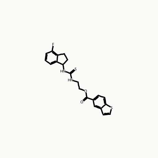 O=C(OCCNC(=S)NC1CCc2c(F)cccc21)c1ccc2sccc2c1